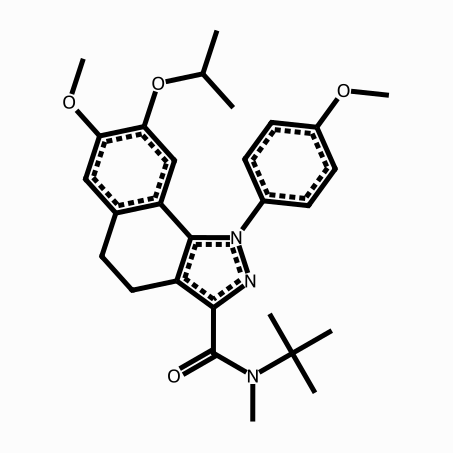 COc1ccc(-n2nc(C(=O)N(C)C(C)(C)C)c3c2-c2cc(OC(C)C)c(OC)cc2CC3)cc1